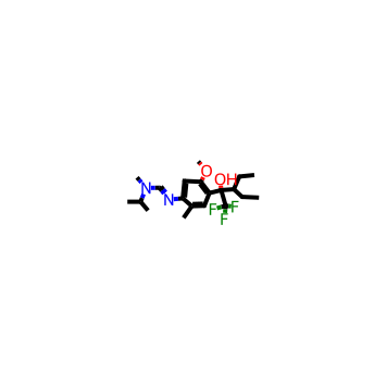 CCC(CC)C(O)(c1cc(C)c(/N=C/N(C)C(C)C)cc1OC)C(F)(F)F